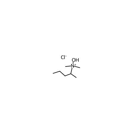 CCCC(C)[N+](C)(C)O.[Cl-]